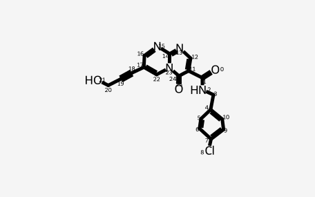 O=C(NCc1ccc(Cl)cc1)c1cnc2ncc(C#CCO)cn2c1=O